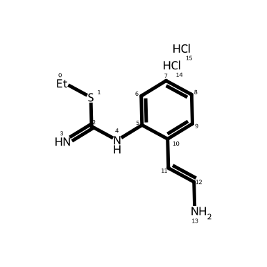 CCSC(=N)Nc1ccccc1C=CN.Cl.Cl